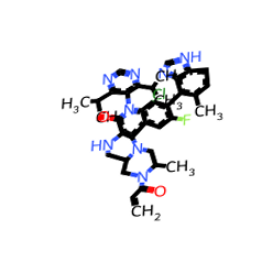 C=CC(=O)N1CC2CNc3c(c4cc(F)c(-c5c(C)ccc6[nH]cnc56)c(Cl)c4n(-c4c(C(C)C)ncnc4C(C)C)c3=O)N2CC1C